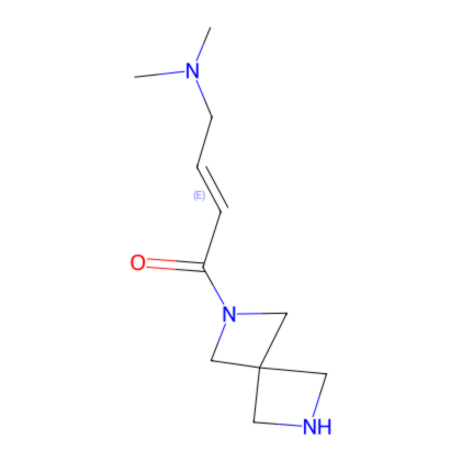 CN(C)C/C=C/C(=O)N1CC2(CNC2)C1